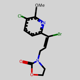 COc1nc(/C(Br)=C\CN2CCOC2=O)ccc1Cl